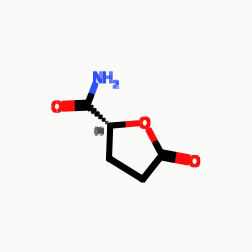 NC(=O)[C@H]1CCC(=O)O1